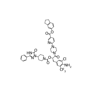 Nc1c(Cl)cc(C[C@@H](OC(=O)N2CCC(n3nc(-c4ccccc4)[nH]c3=O)CC2)C(=O)N2CCN(c3ccc(C(=O)Oc4ccc5c(c4)CCC5)cn3)CC2)cc1C(F)(F)F